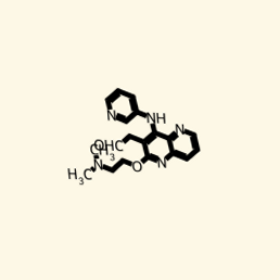 CN(C)CCOc1nc2cccnc2c(Nc2cccnc2)c1CC=O